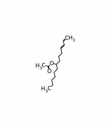 C=C/C=C/CCCC(CCCCCC)OC(C)=O